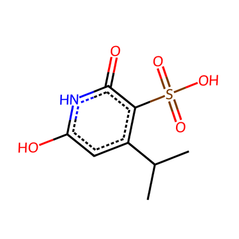 CC(C)c1cc(O)[nH]c(=O)c1S(=O)(=O)O